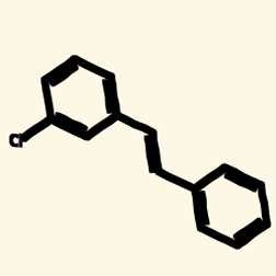 Clc1cccc(/C=C/c2ccccc2)c1